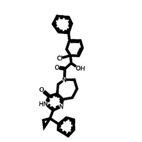 O=C(C(O)C1(Cl)C=CC=C(c2ccccc2)C1)N1CCCc2nc(C3(c4ccccc4)CC3)[nH]c(=O)c2C1